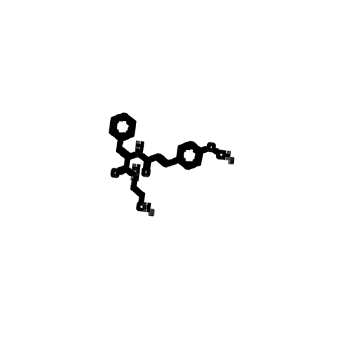 CCCNC(=O)/C(=C/c1ccccc1)NC(=O)/C=C/c1ccc(OC)cc1